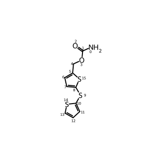 NC(=O)OCc1ccc(Sc2cccs2)s1